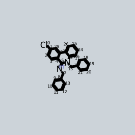 Clc1ccc2/c(=N/Cc3ccccc3)n(Cc3ccccc3)c3ccccc3c2c1